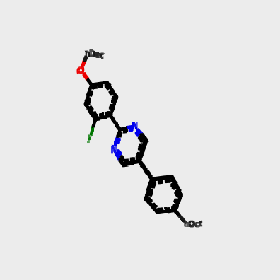 CCCCCCCCCCOc1ccc(-c2ncc(-c3ccc(CCCCCCCC)cc3)cn2)c(F)c1